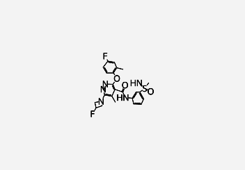 Cc1cc(F)ccc1Oc1nnc(N2CC(F)C2)c(C)c1C(=O)Nc1cccc(S(C)(=N)=O)c1